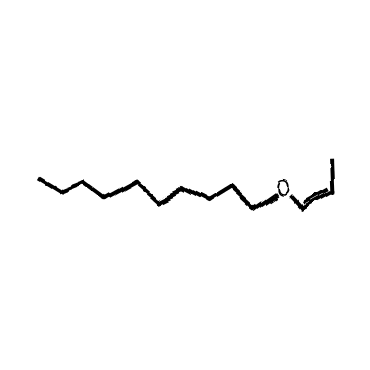 C/C=C\OCCCCCCCCCC